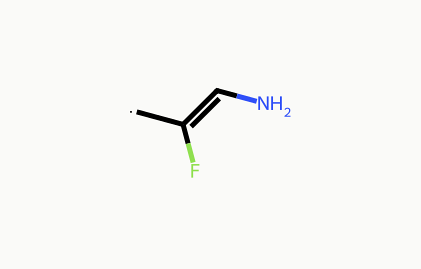 [CH2]/C(F)=C/N